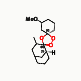 COC1CCC[C@]2(C1)OO[C@]1(O2)C(C)CC2CCC[C@H]1C2